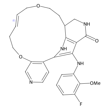 COc1c(F)cccc1Nc1c2[nH]c3c1C(=O)NCC3CCOC/C=C/CCOc1cnccc1-2